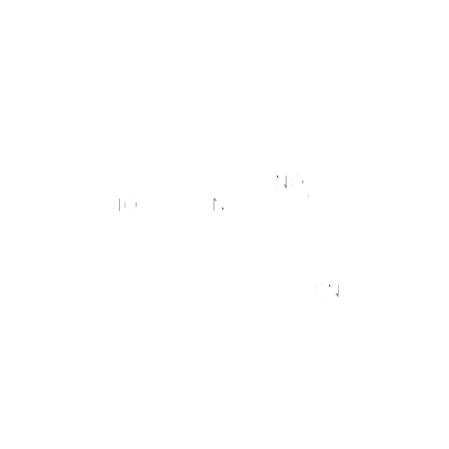 N#Cc1ccc(N2CCCC(O)C2)c([N+](=O)[O-])c1